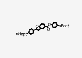 CCCCCCCc1ccc(-c2cc3cc(C(=O)Oc4ccc(CCCCC)cc4)ccc3o2)cc1